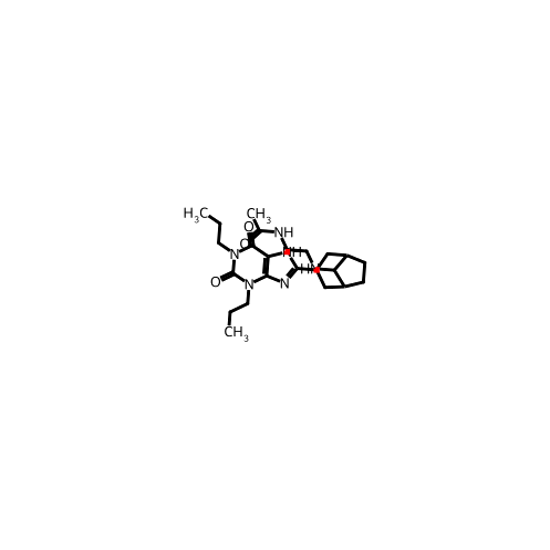 CCCn1c(=O)c2[nH]c(C3CC4CCC(C3)C4NCCNC(C)=O)nc2n(CCC)c1=O